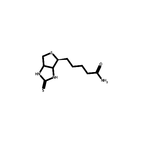 NC(=O)CCCC[C@@H]1SCC2NC(=S)NC21